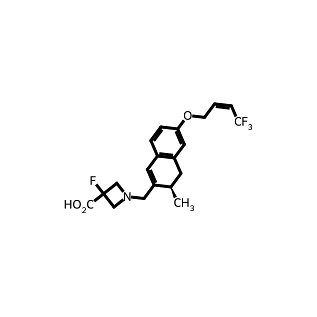 C[C@@H]1Cc2cc(OC/C=C\C(F)(F)F)ccc2C=C1CN1CC(F)(C(=O)O)C1